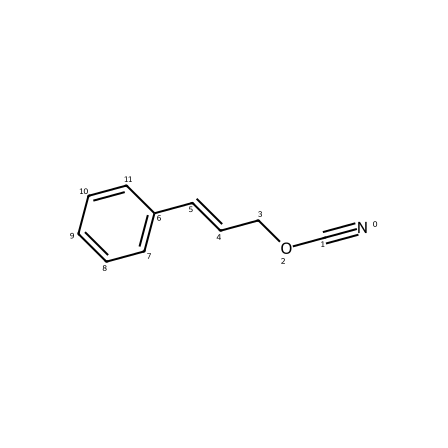 N#COCC=Cc1ccccc1